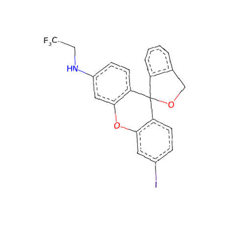 FC(F)(F)CNc1ccc2c(c1)Oc1cc(I)ccc1C21OCc2ccccc21